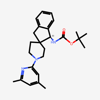 Cc1cc(C)nc(N2CCC3(CC2)Cc2ccccc2[C@H]3NC(=O)OC(C)(C)C)c1